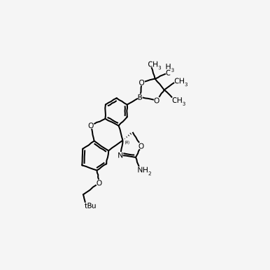 CC(C)(C)COc1ccc2c(c1)[C@@]1(COC(N)=N1)c1cc(B3OC(C)(C)C(C)(C)O3)ccc1O2